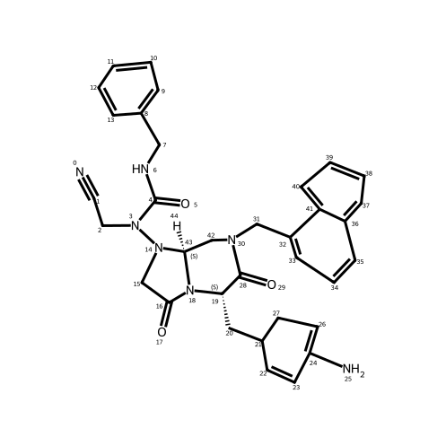 N#CCN(C(=O)NCc1ccccc1)N1CC(=O)N2[C@@H](CC3C=CC(N)=CC3)C(=O)N(Cc3cccc4ccccc34)C[C@@H]21